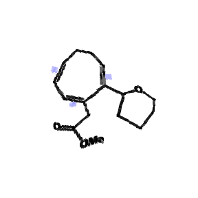 COC(=O)CC1=C/C=C\CC/C=C\1C1CCCCO1